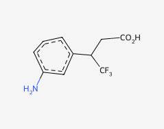 Nc1cccc(C(CC(=O)O)C(F)(F)F)c1